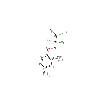 Bc1ccc(OCC(F)(F)C(F)F)c(C(F)(F)F)c1